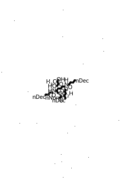 CCCCCCCCCCCCCC(=O)NC(CCC(OC(CO)C(C)O)C(NC(=O)CCCCCCCCCCCCC)OC(=O)CC(CCCCCCCCCCC)OC(=O)CCCCCCCCC)CC(=O)O